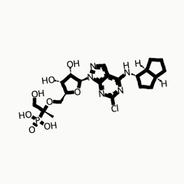 C[C@@](CO)(OC[C@@H]1O[C@H](n2ncc3c(N[C@H]4CC[C@@H]5CCC[C@@H]54)nc(Cl)nc32)[C@@H](O)[C@H]1O)P(=O)(O)O